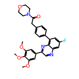 COc1cc(-c2cnc3cc(F)cc(-c4ccc(CC(=O)N5CCOCC5)cc4)c3n2)cc(OC)c1OC